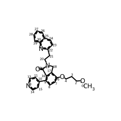 COCCCOc1ccc(-c2ccncc2)c2c1CN(CCc1ccc3ccccc3n1)C2=O